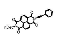 CCCCCCCCCCN1C(=O)c2ccc3c4c(ccc(c24)C1=O)C(=O)N(C#Cc1ccccc1)C3=O